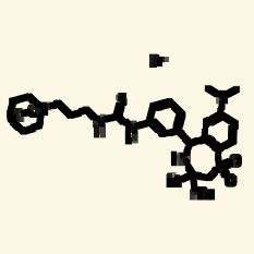 CCCCC1(CC)CS(=O)(=O)c2ccc(N(C)C)cc2C(c2cccc(NC(=S)NCCC[N+]34CCC(CC3)CC4)c2)N1.[Br-]